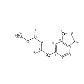 CC(CC(C)Oc1ccc2c(c1)OCC2)CC(C)(C)C